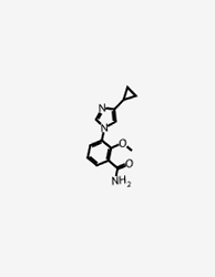 COc1c(C(N)=O)cccc1-n1cnc(C2CC2)c1